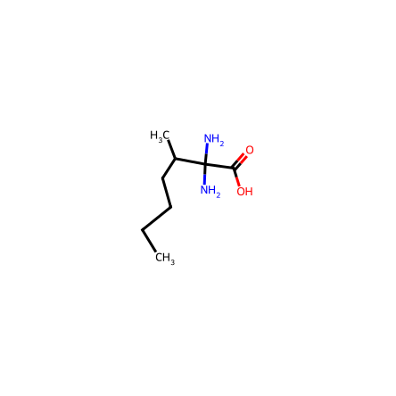 CCCCC(C)C(N)(N)C(=O)O